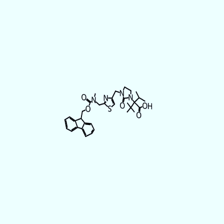 CC(C)C(C(=O)O)(N1CCN(Cc2csc(CN(C)C(=O)OCC3c4ccccc4-c4ccccc43)n2)C1=O)C(C)(C)C